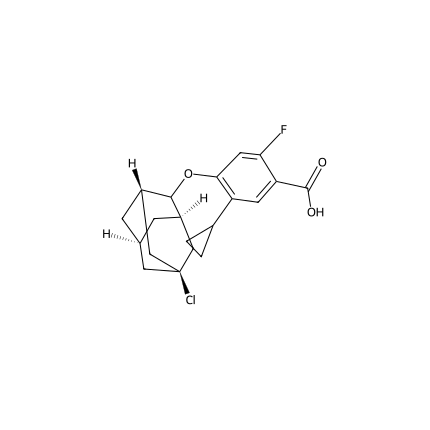 O=C(O)c1cc(C2CC2)c(OC2[C@@H]3C[C@@H]4C[C@H]2C[C@@](Cl)(C4)C3)cc1F